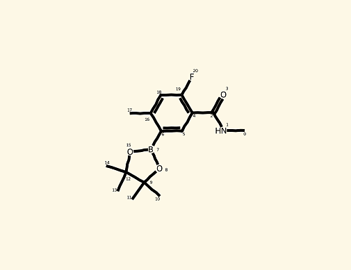 CNC(=O)c1cc(B2OC(C)(C)C(C)(C)O2)c(C)cc1F